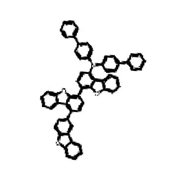 c1ccc(-c2ccc(N(c3ccc(-c4ccccc4)cc3)c3ccc(-c4ccc(-c5ccc6oc7ccccc7c6c5)c5c4oc4ccccc45)c4oc5ccccc5c34)cc2)cc1